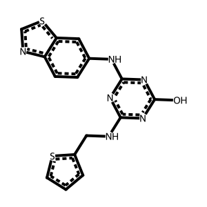 Oc1nc(NCc2cccs2)nc(Nc2ccc3ncsc3c2)n1